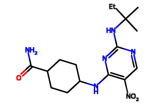 CCC(C)(C)Nc1ncc([N+](=O)[O-])c(NC2CCC(C(N)=O)CC2)n1